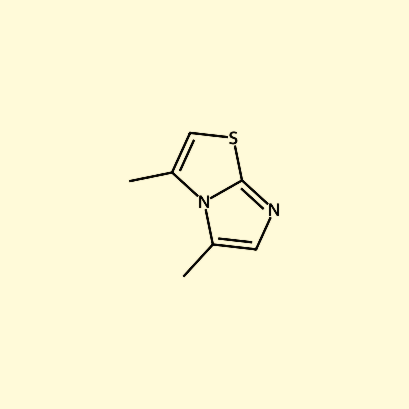 Cc1cnc2scc(C)n12